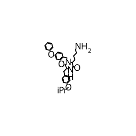 CC(C)Oc1ccc(CC2NC(=O)C(CCCCN)N(Cc3ccc(Oc4ccccc4)cc3)C2=O)cc1